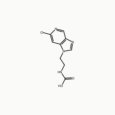 O=C(O)NCCn1cnc2cnc(Cl)cc21